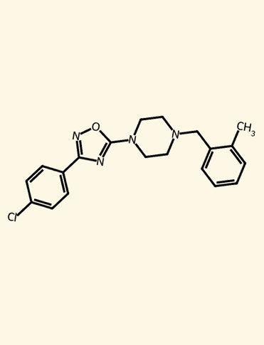 Cc1ccccc1CN1CCN(c2nc(-c3ccc(Cl)cc3)no2)CC1